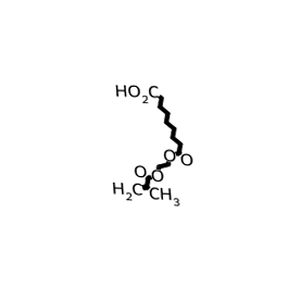 C=C(C)C(=O)OCCOC(=O)CCCCCCCC(=O)O